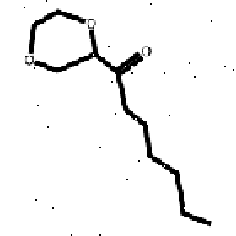 CCCCCCC(=O)C1COCCO1